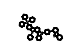 c1ccc(-n2c3ccc([Si](c4ccccc4)(c4ccccc4)c4ccccc4)cc3c3ccc4c(c5ccccc5n4-c4ccc(-c5cccc6c5sc5ccccc56)cc4)c32)cc1